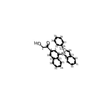 O=C(CO)c1cc(-n2c3ccccc3c[13c]2-c2ccccc2)c2ccccc2c1